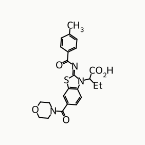 CCC(C(=O)O)n1c(=NC(=O)c2ccc(C)cc2)sc2cc(C(=O)N3CCOCC3)ccc21